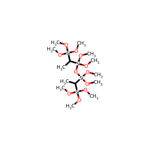 CO[Si](OC)(OC)C(C)[Si](OC)(OC)O[Si](OC)(OC)C(C)[Si](OC)(OC)OC